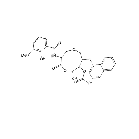 COc1ccnc(C(=O)NC2COCC(Cc3cccc4ccccc34)C(OC(=O)C(C)C)C(C)OC2=O)c1O